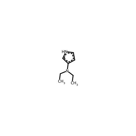 CCN(CC)c1cc[nH]c1